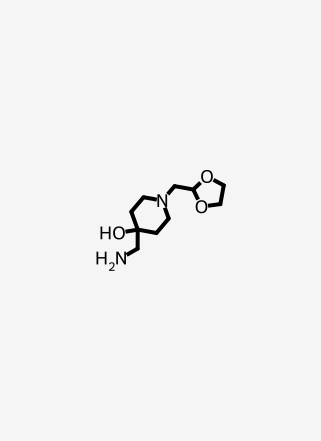 NCC1(O)CCN(CC2OCCO2)CC1